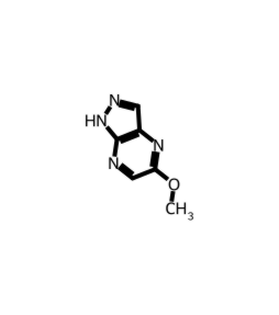 COc1cnc2[nH]ncc2n1